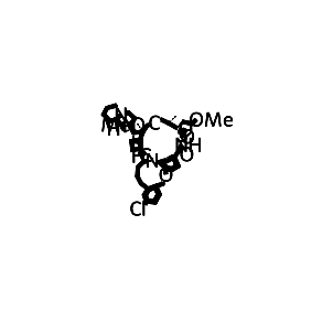 COCC[C@@H]1[C@@H](C)CCC[C@@](CN2CCN3CCCC[C@@H]3C2)(OC)[C@@H]2CC[C@H]2CN2CCCCc3cc(Cl)ccc3COc3ccc(cc32)C(=O)NS1(=O)=O